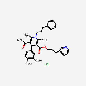 COC(=O)C1=C(C)N(CCCc2ccccc2)C(C)=C(C(=O)OCCCc2cccnc2)C1c1ccc(OC)c(OC)c1.Cl